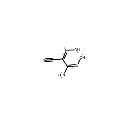 N#CC(=N/O)/C(N)=N\O